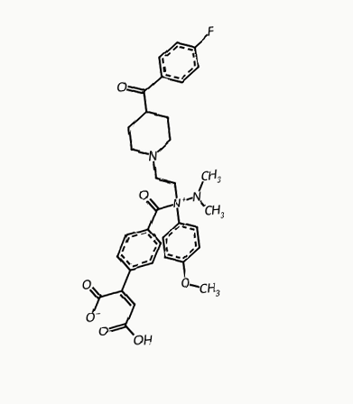 COc1ccc([N+](CCN2CCC(C(=O)c3ccc(F)cc3)CC2)(C(=O)c2ccc(/C(=C/C(=O)O)C(=O)[O-])cc2)N(C)C)cc1